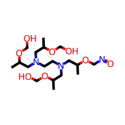 CC(CN(CCN(CC(C)OCO)CC(C)OCN=O)CC(C)OCO)OCO